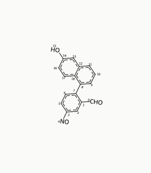 O=Cc1cc(N=O)ccc1-c1cccc2cc(O)ccc12